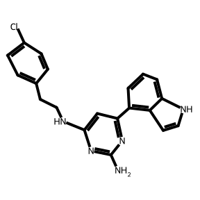 Nc1nc(NCCc2ccc(Cl)cc2)cc(-c2cccc3[nH]ccc23)n1